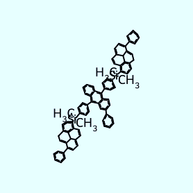 C[Si](C)(c1ccc(-c2c3ccccc3c(-c3ccc([Si](C)(C)c4ccc5c6c4C=CC4=CC=C(c7ccccc7)C(=CC5)C46)cc3)c3cc(-c4ccccc4)ccc23)cc1)c1ccc2c3c1C=CC1=CC=C(c4ccccc4)C(=CC2)C13